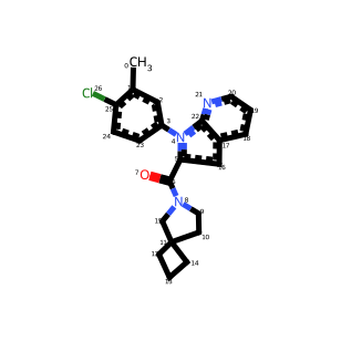 Cc1cc(-n2c(C(=O)N3CCC4(CCC4)C3)cc3cccnc32)ccc1Cl